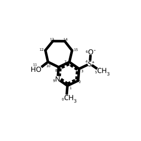 Cc1cc([S+](C)[O-])c2c(n1)C(O)CCCC2